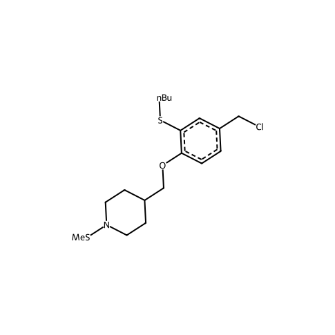 CCCCSc1cc(CCl)ccc1OCC1CCN(SC)CC1